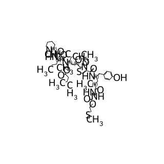 CCC(C)[C@H](NC(=O)[C@H]1CCCCN1C)C(=O)N(COC(=O)CC(C)C)[C@H](C[C@@H](OC(C)=O)c1nc(C(=O)N[C@@H](Cc2ccc(O)cc2)C[C@H](C)C(=O)NNC(=O)OCCSC)cs1)C(C)C